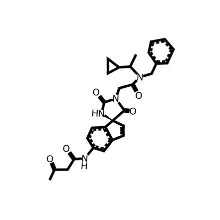 CC(=O)CC(=O)Nc1ccc2c(c1)C=C[C@]21NC(=O)N(CC(=O)N(Cc2ccccc2)C(C)C2CC2)C1=O